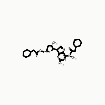 C[C@H]1C[C@@H](COC(=O)CC2CCCCC2)OC1C1C=Nc2c1nc(N)nc2N(C)C(=O)CC1CCCCC1